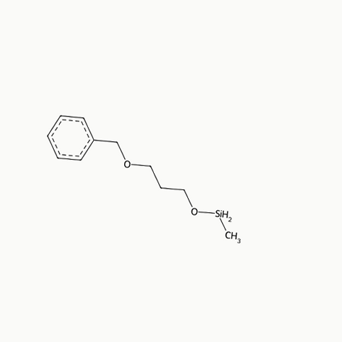 C[SiH2]OCCCOCc1ccccc1